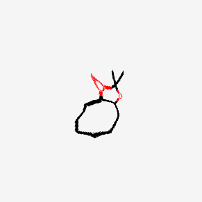 CC1(C)OC2=CCCCCCC2O1